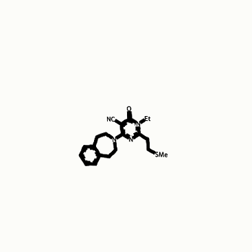 CCn1c(CCSC)nc(N2CCc3ccccc3CC2)c(C#N)c1=O